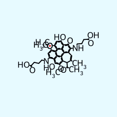 COc1c2c3c4c(c(NCCCC(=O)O)c(=O)c5c(O)cc(OC)c(c6c(OC)cc(NCCCC(=O)O)c(c1=O)c63)c54)C=C(C)C2C(C)=O